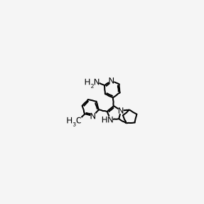 Cc1cccc(C2=C(c3ccnc(N)c3)N3C4CCC(C4)C3N2)n1